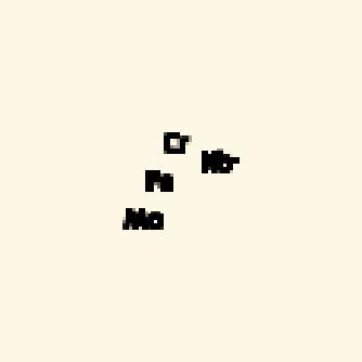 [Cr].[Fe].[Mo].[Nb]